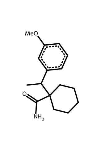 COc1cccc(C(C)C2(C(N)=O)CCCCC2)c1